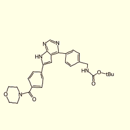 CC(C)(C)OC(=O)NCc1ccc(-c2ncnc3[nH]c(-c4ccc(C(=O)N5CCOCC5)cc4)cc23)cc1